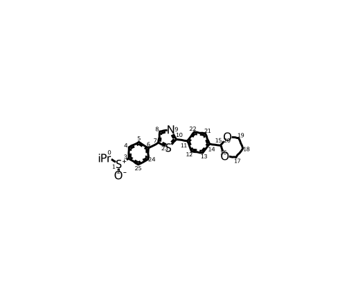 CC(C)[S+]([O-])c1ccc(-c2cnc(-c3ccc(C4OCCCO4)cc3)s2)cc1